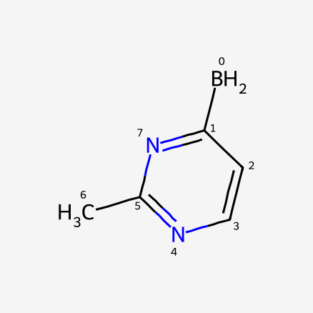 Bc1ccnc(C)n1